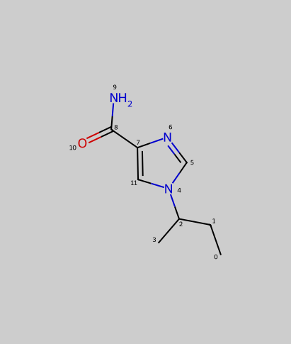 CCC(C)n1cnc(C(N)=O)c1